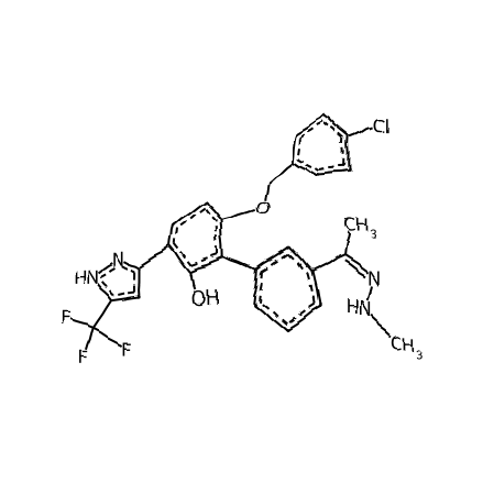 CN/N=C(/C)c1cccc(-c2c(OCc3ccc(Cl)cc3)ccc(-c3cc(C(F)(F)F)[nH]n3)c2O)c1